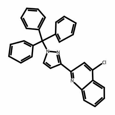 Clc1cc(-c2ccn(C(c3ccccc3)(c3ccccc3)c3ccccc3)n2)nc2ccccc12